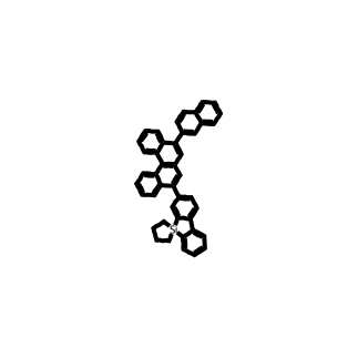 c1ccc2c(c1)-c1ccc(-c3cc4cc(-c5ccc6ccccc6c5)c5ccccc5c4c4ccccc34)cc1[Si]21CCCC1